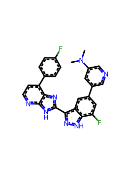 CN(C)c1cncc(-c2cc(F)c3[nH]nc(-c4nc5c(-c6ccc(F)cc6)ccnc5[nH]4)c3c2)c1